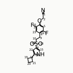 N#CCOc1cc(F)c(CCS(=O)(=O)c2c[nH]c(C3CCC3)c2)cc1F